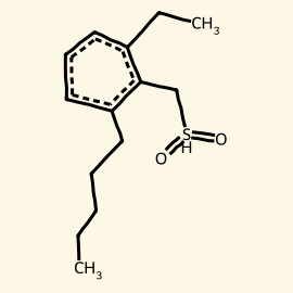 CCCCCc1cccc(CC)c1C[SH](=O)=O